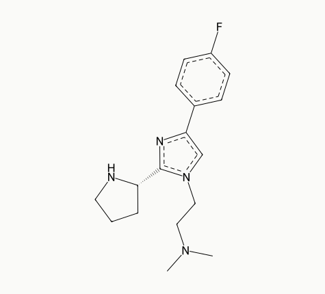 CN(C)CCn1cc(-c2ccc(F)cc2)nc1[C@@H]1CCCN1